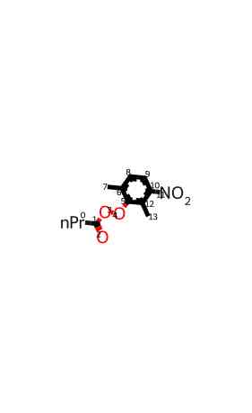 CCCC(=O)OOc1c(C)ccc([N+](=O)[O-])c1C